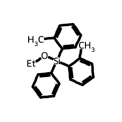 CCO[Si](c1ccccc1)(c1ccccc1C)c1ccccc1C